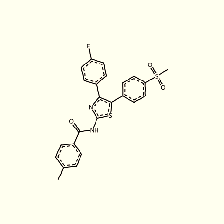 Cc1ccc(C(=O)Nc2nc(-c3ccc(F)cc3)c(-c3ccc(S(C)(=O)=O)cc3)s2)cc1